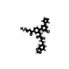 COCC(=O)N1CCN(c2cc(Cl)nc(-n3ccnc3)n2)C(CC(=O)NCCc2ccc3c(c2)OCO3)C1